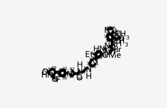 CCc1cc(Nc2ncc(Br)c(Nc3ccc4nccnc4c3P(C)(C)=O)n2)c(OC)cc1N1CCC(NCCNC(=O)C2CN(c3ccc(C4CCC(=O)NC4=O)c(F)c3)C2)CC1